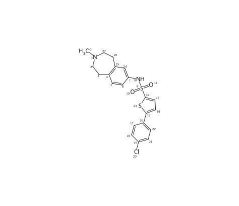 CN1CCc2ccc(NS(=O)(=O)c3ccc(-c4ccc(Cl)cc4)s3)cc2CC1